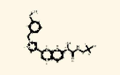 COc1cccc(Cn2cc(-c3cnc4ccc(N(S)C(=O)NCC(F)(F)F)nc4n3)cn2)c1